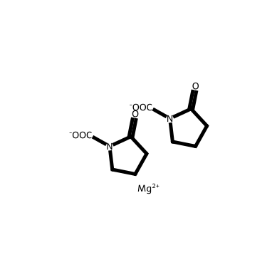 O=C([O-])N1CCCC1=O.O=C([O-])N1CCCC1=O.[Mg+2]